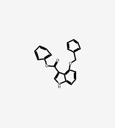 O=C(Oc1ccccc1)c1c[nH]c2cccc(OCc3ccccc3)c12